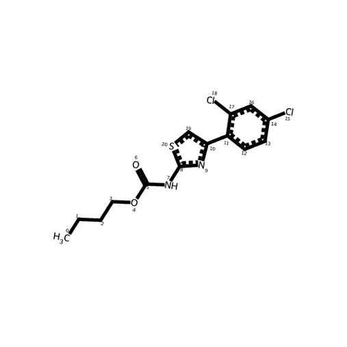 CCCCOC(=O)Nc1nc(-c2ccc(Cl)cc2Cl)cs1